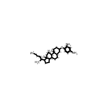 CC(C)CCCC(C)C1CCC2C3CCC4CC(Oc5ccc(N)cc5N)CCC4(C)C3CCC12C